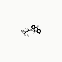 CCCCO/C(C)=C/C=C(\C)Nc1cccc2c1C(=O)c1ccccc1C2=O